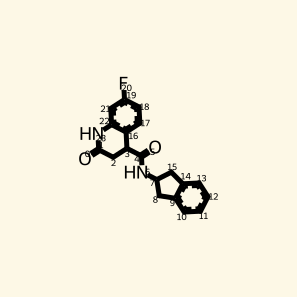 O=C1CC(C(=O)NC2Cc3ccccc3C2)c2ccc(F)cc2N1